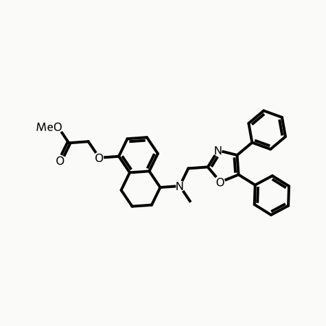 COC(=O)COc1cccc2c1CCCC2N(C)Cc1nc(-c2ccccc2)c(-c2ccccc2)o1